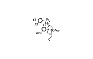 CO[C@]12CC[C@H](N(CC(C)C)C(=O)Cc3ccc(Cl)c(Cl)c3)C[C@]1(c1cccc(OC(C)=O)c1)CCN(CC1CC1)C2